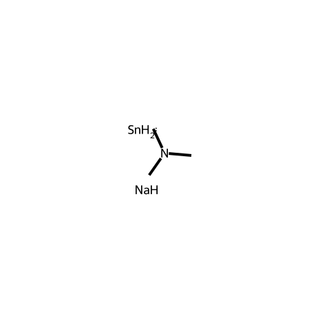 CN(C)C.[NaH].[SnH2]